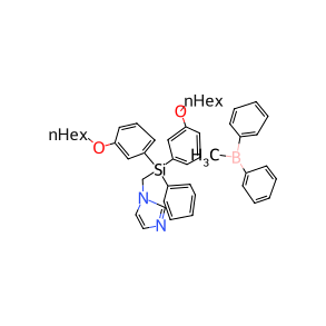 CB(c1ccccc1)c1ccccc1.CCCCCCOc1cccc([Si](Cn2ccnc2)(c2ccccc2)c2cccc(OCCCCCC)c2)c1